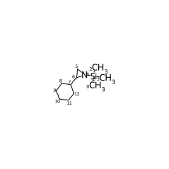 C[Si](C)(C)N1CC1C1CCCCC1